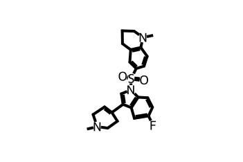 CN1CC=C(c2cn(S(=O)(=O)c3ccc4c(c3)CCCN4C)c3ccc(F)cc23)CC1